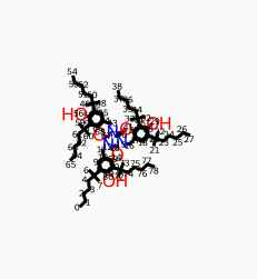 CCCCCC(C)(C)c1cc(Cn2c(=O)n(Cc3cc(C(C)(C)CCCCC)c(O)c(C(C)(C)CCCCC)c3)c(=O)n(Cc3cc(C(C)(C)CCCCC)c(O)c(C(C)(C)CCCCC)c3)c2=O)cc(C(C)(C)CCCCC)c1O